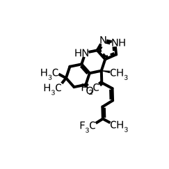 C=C(/C=C\C=C(/C)C(F)(F)F)[C@]1(C)C2=C(CC(C)(C)CC2=O)Nc2n[nH]cc21